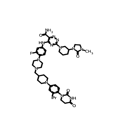 CC(C)c1cc(N2CCC(CN3CCN(c4ccc(Nc5nc(N6CCCC(N7CCN(C)C7=O)C6)nnc5C(N)=O)cc4F)CC3)CC2)ccc1N1CCC(=O)NC1=O